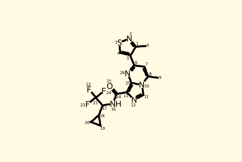 Cc1nscc1-c1cc(C)n2cnc(C(=O)NC(C3CC3)C(F)(F)F)c2n1